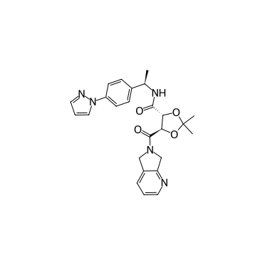 C[C@@H](NC(=O)[C@@H]1OC(C)(C)O[C@H]1C(=O)N1Cc2cccnc2C1)c1ccc(-n2cccn2)cc1